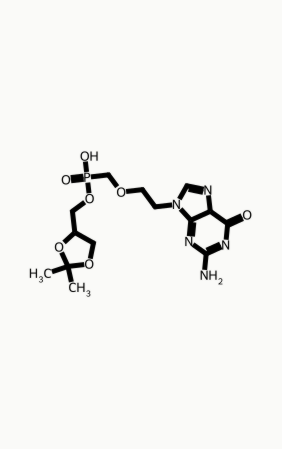 CC1(C)OCC(COP(=O)(O)COCCN2C=NC3C(=O)N=C(N)N=C32)O1